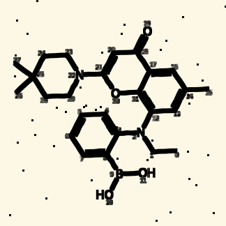 CCN(c1ccccc1B(O)O)c1cc(C)cc2c(=O)cc(N3CCC(C)(C)CC3)oc12